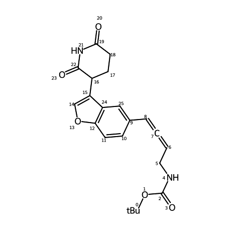 CC(C)(C)OC(=O)NCC=C=Cc1ccc2occ(C3CCC(=O)NC3=O)c2c1